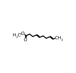 C/C=C/CC/C=C/CCC(=O)OC